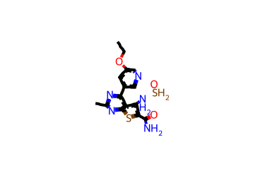 CCOc1cncc(-c2nc(C)nc3sc(C(N)=O)c(N)c23)c1.O=[SH2]